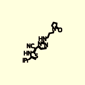 CC(C)C1=CS/C(=C(/C#N)c2ccnc(NCCCN3CCCC3=O)n2)N1